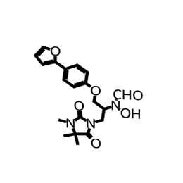 CN1C(=O)N(CC(COc2ccc(-c3ccco3)cc2)N(O)C=O)C(=O)C1(C)C